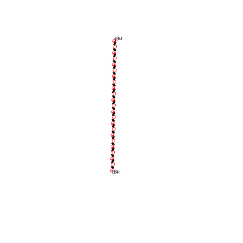 CC(C)(C)OCCOCCOCCOCCOCCOCCOCCOCCOCCOCCOCCOCCOCCOCCOCCOCCOCCOCCOCCOCCOCCOCCOC(C)(C)C